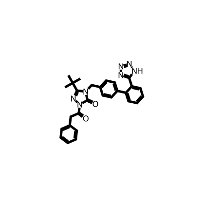 CC(C)(C)c1nn(C(=O)Cc2ccccc2)c(=O)n1Cc1ccc(-c2ccccc2-c2nnn[nH]2)cc1